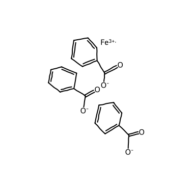 O=C([O-])c1ccccc1.O=C([O-])c1ccccc1.O=C([O-])c1ccccc1.[Fe+3]